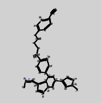 C#Cc1ccc(CNCCNc2ccc(-c3cc(-c4cnn(C)c4)cn4ncc(/C=N\C)c34)cn2)cn1